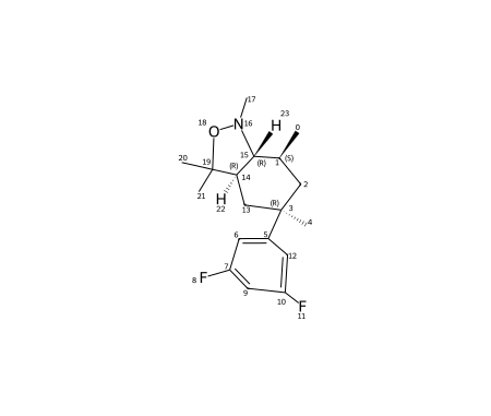 C[C@H]1C[C@@](C)(c2cc(F)cc(F)c2)C[C@@H]2[C@@H]1N(C)OC2(C)C